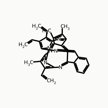 C=Cc1c(C)c2nc3c4c(nc5c(C=C)c(C=C)c6nc7c4c(nc1n2n56)-c1ccccc1-7)C(C)=C3C